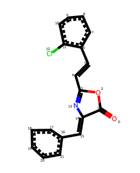 O=C1OC(C=Cc2ccccc2Cl)=NC1=Cc1ccccc1